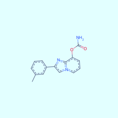 Cc1cccc(-c2cn3cccc(OC(N)=O)c3n2)c1